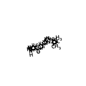 Cc1cc(C)cc(Nc2ncc3c(n2)CN(C2CCN(C(=O)c4cc5[nH]nnc5cc4F)CC2)C3)c1